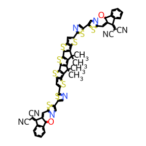 CC1(C)c2c(sc3c2C(C)(C)c2c-3sc3cc(-c4ncc(-c5cnc(/C=C6\C(=O)c7ccccc7C6=C(C#N)C#N)s5)s4)sc23)-c2sc3cc(-c4ncc(-c5cnc(/C=C6\C(=O)c7ccccc7C6=C(C#N)C#N)s5)s4)sc3c21